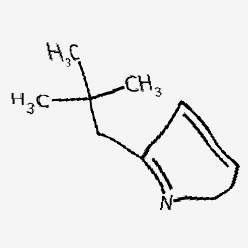 CC(C)(C)CC1=NCC=C1